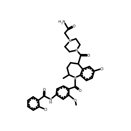 COc1cc(NC(=O)c2ccccc2Cl)ccc1C(=O)N1c2ccc(Cl)cc2C(C(=O)N2CCN(CC(N)=O)CC2)CCC1C